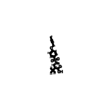 CC#CCOc1ccc(S(=O)(=O)N(C)CC(C(=O)O)C(C)(C)C)cc1